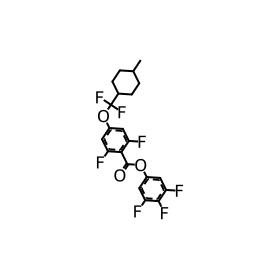 CC1CCC(C(F)(F)Oc2cc(F)c(C(=O)Oc3cc(F)c(F)c(F)c3)c(F)c2)CC1